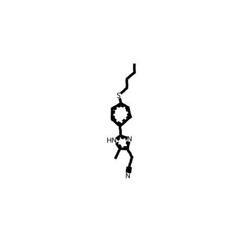 CCCCSc1ccc(-c2nc(CC#N)c(C)[nH]2)cc1